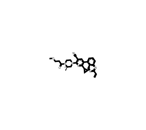 C=Cc1ncc2c(-c3cc(C#N)c(N4CCN(C(=O)CCOC)[C@H](C)C4)nc3C3CC3)cccc2n1